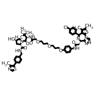 Cc1ncsc1-c1ccc(CNC(=O)[C@@H]2C[C@@H](O)CN2C(=O)[C@@H](NC(=O)COCCCOCCCOc2ccc(NC(=O)C[C@@H]3N=C(c4ccc(Cl)cc4)c4c(sc(C)c4C)-n4cnnc43)cc2)C(C)(C)C)cc1